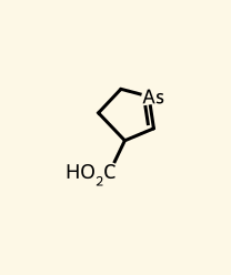 O=C(O)C1C=[As]CC1